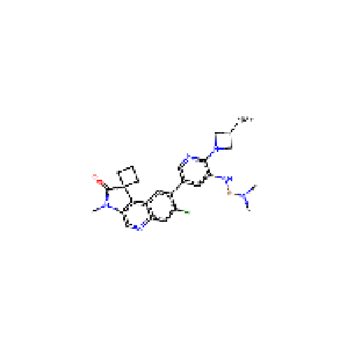 CNC1CN(c2ncc(-c3cc4c5c(cnc4cc3F)N(C)C(=O)C53CCC3)cc2NSN(C)C)C1